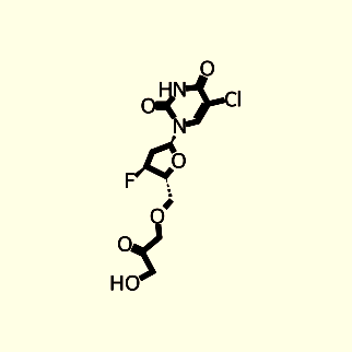 O=C(CO)COC[C@H]1O[C@@H](n2cc(Cl)c(=O)[nH]c2=O)C[C@@H]1F